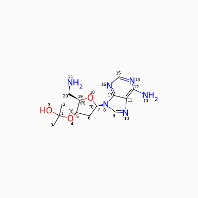 CC(C)(O)O[C@@H]1C[C@H](n2cnc3c(N)ncnc32)O[C@@H]1CN